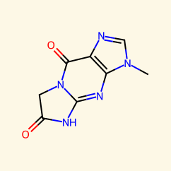 Cn1cnc2c(=O)n3c(nc21)NC(=O)C3